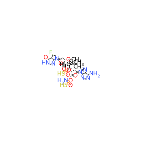 CC(C)(C)[Si](C)(C)OC1C[C@H](n2cc(F)c3c(=O)[nH]cnc32)O[C@@H]1COP(=O)(S)OC1C[C@H](n2cnc3c(N)ncnc32)O[C@@H]1COP(N)(=O)S